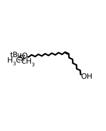 CC(C)(C)[Si](C)(C)OCCCCCCCCCCC/C=C\CCCCCCCO